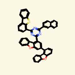 c1ccc2cc(-c3nc(-c4cccc5c4sc4ccccc45)nc(-c4cc(-c5cccc6oc7ccccc7c56)cc5oc6ccccc6c45)n3)ccc2c1